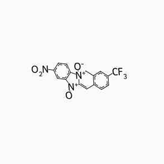 O=[N+]([O-])c1ccc2c(c1)[N+](=O)C1=Cc3ccc(C(F)(F)F)cc3C[N+]12[O-]